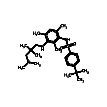 Cc1cc(C)c(NS(=O)(=O)c2ccc(C(C)(C)C)cc2)c(C)c1NCC(C)(C)CN(C)C